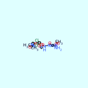 CC(=O)O/N=C(/N)c1ccc(C(=O)NCCCNC(=O)[C@@H]2CCCN2S(=O)(=O)c2ccc(Cl)c(COc3cccn4c(C(C)=O)c(C)nc34)c2Cl)cc1